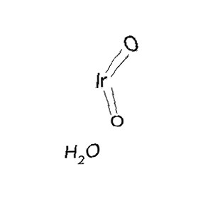 O.[O]=[Ir]=[O]